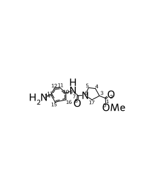 COC(=O)C1CCN(C(=O)Nc2ccc(N)cc2)C1